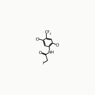 O=C(CI)Nc1cc(Cl)c(C(F)(F)F)cc1Cl